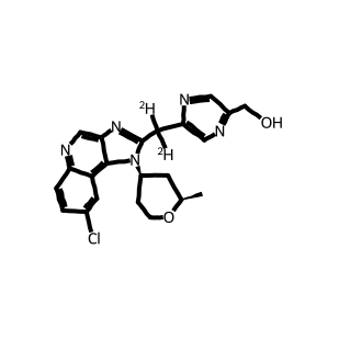 [2H]C([2H])(c1cnc(CO)cn1)c1nc2cnc3ccc(Cl)cc3c2n1[C@@H]1CCO[C@H](C)C1